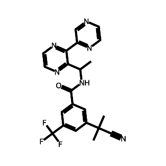 CC(NC(=O)c1cc(C(F)(F)F)cc(C(C)(C)C#N)c1)c1nccnc1-c1cnccn1